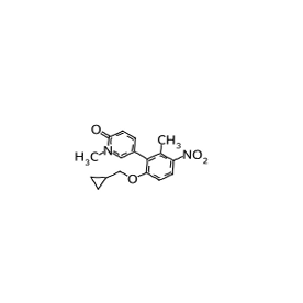 Cc1c([N+](=O)[O-])ccc(OCC2CC2)c1-c1ccc(=O)n(C)c1